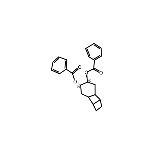 O=C(O[C@H]1CC2C3CCC3C2C[C@@H]1OC(=O)c1ccccc1)c1ccccc1